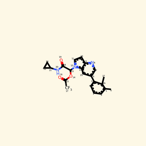 Cc1cccc(-c2cnc3ccn(C(OC(=O)C(F)(F)F)C(=O)NC4CC4)c3c2)c1C